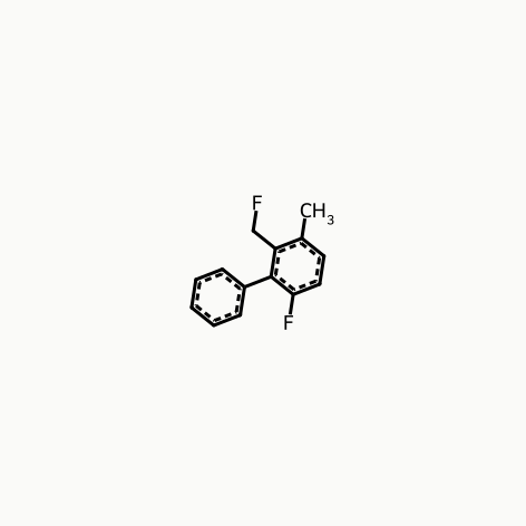 Cc1ccc(F)c(-c2ccccc2)c1CF